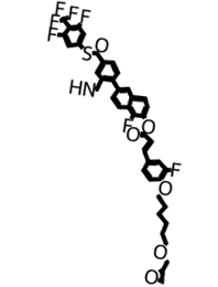 N=Cc1cc(C(=O)Sc2cc(F)c(C(F)(F)F)c(F)c2)ccc1-c1ccc2c(F)c(OC(=O)/C=C/c3ccc(OCCCCCCOCC4CO4)c(F)c3)ccc2c1